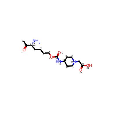 CC(=O)[C@H](N)CCCCOC(=O)NC1CCN(CC(=O)O)CC1